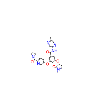 Cc1cnc(NC(=O)c2cc(Oc3ccc(C(=O)N4CCC4)nc3)cc(OC3CCN(C)C3=O)c2)cn1